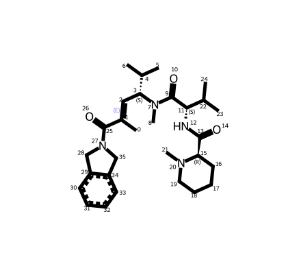 C/C(=C\[C@H](C(C)C)N(C)C(=O)[C@@H](NC(=O)[C@H]1CCCCN1C)C(C)C)C(=O)N1Cc2ccccc2C1